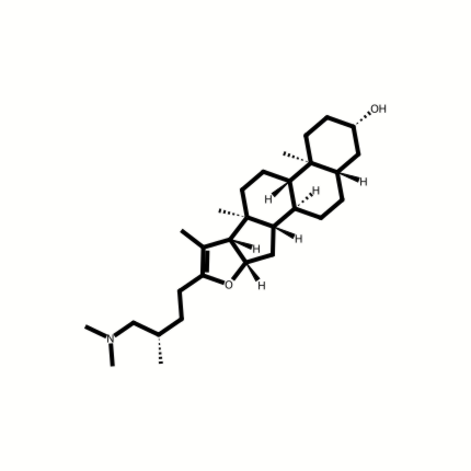 CC1=C(CC[C@H](C)CN(C)C)O[C@H]2C[C@H]3[C@@H]4CC[C@H]5C[C@@H](O)CC[C@]5(C)[C@H]4CC[C@]3(C)[C@@H]12